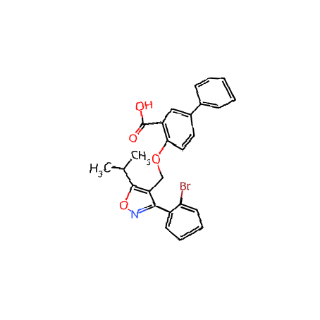 CC(C)c1onc(-c2ccccc2Br)c1COc1ccc(-c2ccccc2)cc1C(=O)O